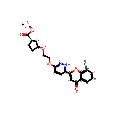 COC(=O)[C@@H]1CCC(OCCOc2ccc(-c3cc(=O)c4cccc(Cl)c4o3)nn2)C1